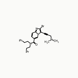 CC(C)CCN(CCC(C)C)C(=O)c1ccc2nc(Br)c(C#CCN(C)C)n2c1